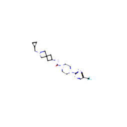 C[C@@H]1CN(c2ncc(C(F)(F)F)cn2)C[C@H](C)N1C(=O)NC1CC2(C1)CN(CC1CC1)C2